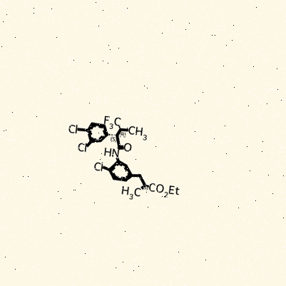 CCOC(=O)[C@@H](C)Cc1ccc(Cl)c(NC(=O)[C@H](c2ccc(Cl)c(Cl)c2)[C@@H](C)C(F)(F)F)c1